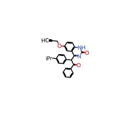 C#CCOc1ccc2[nH]c(=O)nc(C(C(=O)c3ccccc3)c3ccc(C(C)C)cc3)c2c1